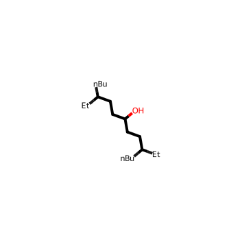 CCCCC(CC)CCC(O)CCC(CC)CCCC